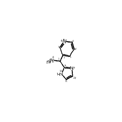 CCCC(c1cccnc1)c1ncc[nH]1